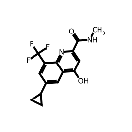 CNC(=O)c1cc(O)c2cc(C3CC3)cc(C(F)(F)F)c2n1